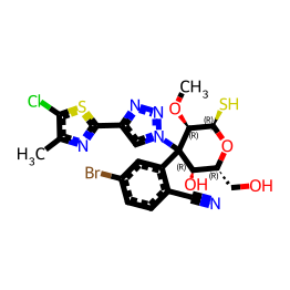 CO[C@H]1[C@@H](S)O[C@H](CO)[C@H](O)C1(c1cc(Br)ccc1C#N)n1cc(-c2nc(C)c(Cl)s2)nn1